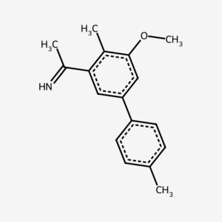 COc1cc(-c2ccc(C)cc2)cc(C(C)=N)c1C